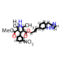 COC(=O)C1=C(C)NC(C)=C(C(=O)OCC#Cc2ccc(Cc3ncc[nH]3)cc2)C1c1cccc([N+](=O)[O-])c1